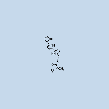 C=C(C)C(=O)OCCc1ccc(-c2ccc(-c3ccc[nH]3)[nH]2)[nH]1